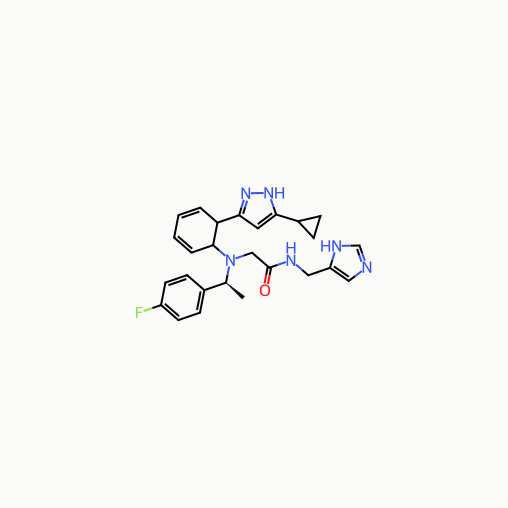 C[C@@H](c1ccc(F)cc1)N(CC(=O)NCc1cnc[nH]1)C1C=CC=CC1c1cc(C2CC2)[nH]n1